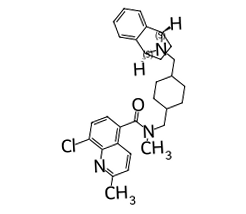 Cc1ccc2c(C(=O)N(C)CC3CCC(CN4[C@H]5CC[C@H]4c4ccccc45)CC3)ccc(Cl)c2n1